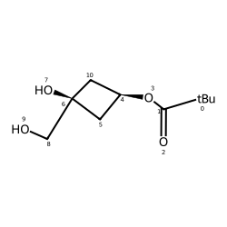 CC(C)(C)C(=O)O[C@H]1C[C@](O)(CO)C1